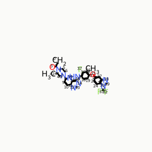 C=CC(=O)N1CCN(c2ccc3ncnc(Nc4ccc(Oc5ccc6c(c5)ncn6C(F)F)c(C)c4F)c3n2)C[C@H]1C